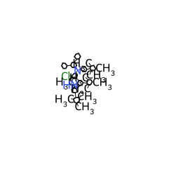 Cc1cc(C)c(-c2ccc(N(c3cc(-c4ccccc4)cc(-c4ccccc4)c3)c3cc(Cl)c(C)c(-c4cc(-c5c(C)cc(C)cc5C)cc5c4[nH]c4ccc(-c6c(C)cc(C)cc6C)cc45)c3)cc2)c(C)c1